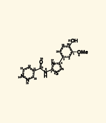 COc1cc(-c2csc(NC(=O)c3ccnnc3)n2)ccc1O